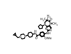 COc1cc(C(=O)NC2CCC(N3CCN(CC4CC4)CC3)CC2)ccc1Nc1ncc2c(n1)N(C1CCCC1)CC(C)(C)C(=O)N2C